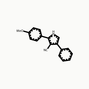 COc1ccc(-c2[nH]cc(-c3ccccc3)c2C#N)cc1